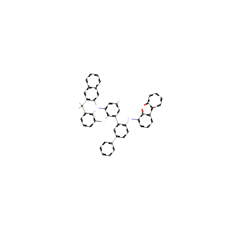 Cc1cc(-c2cc(-c3ccccc3)ccc2Nc2cccc3c2oc2ccccc23)c2c(c1)N1c3cc4ccccc4cc3C(C)(C)c3cccc(c31)B2